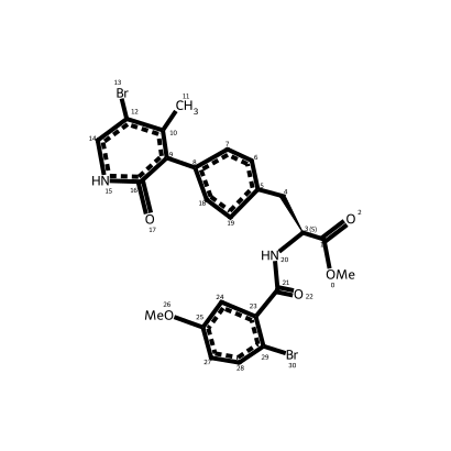 COC(=O)[C@H](Cc1ccc(-c2c(C)c(Br)c[nH]c2=O)cc1)NC(=O)c1cc(OC)ccc1Br